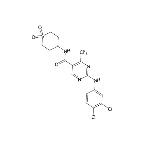 O=C(NC1CCS(=O)(=O)CC1)c1cnc(Nc2ccc(Cl)c(Cl)c2)nc1C(F)(F)F